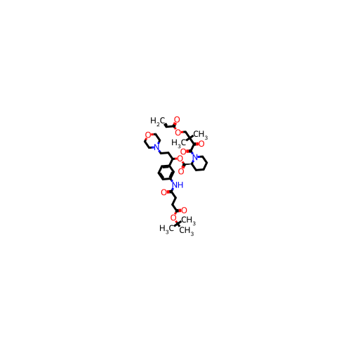 C=CC(=O)OCC(C)(C)C(=O)C(=O)N1CCCC[C@H]1C(=O)OC(CCN1CCOCC1)c1cccc(NC(=O)CCC(=O)OC(C)(C)C)c1